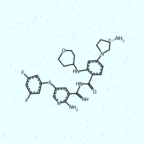 N=C(NC(=O)c1ccc(N2CC[C@H](N)C2)cc1NC1CCOCC1)c1cc(Sc2cc(F)cc(F)c2)cnc1N